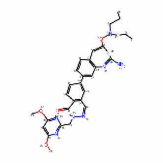 CCCN(CCC)OC1=Cc2ccc(-c3ccc(C=O)c(/C=N\N(C)Cc4nc(OC)cc(OC)n4)c3)cc2N=C(N)C1